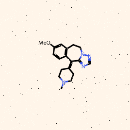 COc1ccc2c(c1)CCn1ncnc1C2=C1CCN(C)CC1